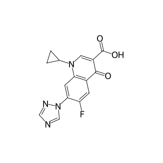 O=C(O)c1cn(C2CC2)c2cc(-n3cncn3)c(F)cc2c1=O